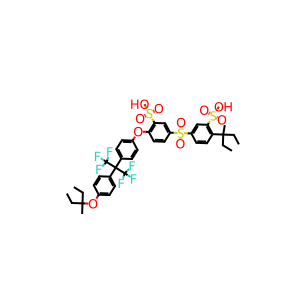 CCC(C)(CC)Oc1ccc(C(c2ccc(Oc3ccc(S(=O)(=O)c4ccc(C(C)(CC)CC)c(S(=O)(=O)O)c4)cc3S(=O)(=O)O)cc2)(C(F)(F)F)C(F)(F)F)cc1